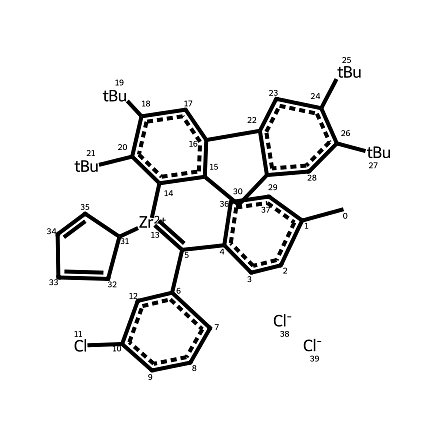 Cc1ccc([C](c2cccc(Cl)c2)=[Zr+2]([c]2c3c(cc(C(C)(C)C)c2C(C)(C)C)-c2cc(C(C)(C)C)c(C(C)(C)C)cc2C3)[CH]2C=CC=C2)cc1.[Cl-].[Cl-]